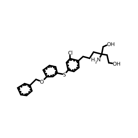 NC(CO)(CCO)CCCc1ccc(Sc2cccc(OCc3ccccc3)c2)cc1Cl